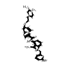 Cc1nn(Cc2cccc(C(C)(C)C)n2)c2cccc(NC(=O)c3cnc4cc(OCCN5CCN(C)[C@@H](C)C5)ccn34)c12